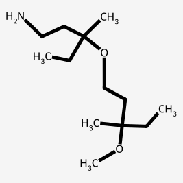 CCC(C)(CCOC(C)(CC)CCN)OC